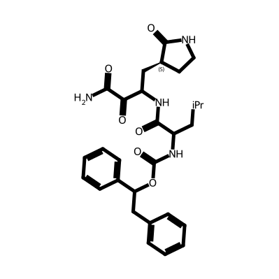 CC(C)CC(NC(=O)OC(Cc1ccccc1)c1ccccc1)C(=O)NC(C[C@@H]1CCNC1=O)C(=O)C(N)=O